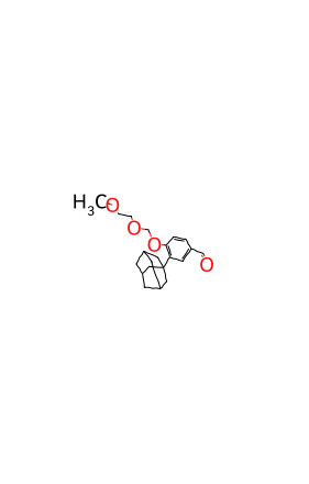 COCCOCOc1ccc(C=O)cc1C12CC3CC(CC(C3)C1)C2